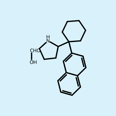 O=CO.c1ccc2cc(C3(C4CCCN4)CCCCC3)ccc2c1